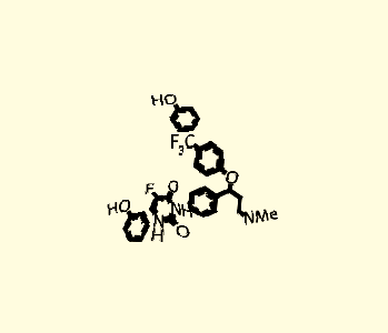 CNCCC(Oc1ccc(C(F)(F)F)cc1)c1ccccc1.O=c1[nH]cc(F)c(=O)[nH]1.Oc1ccccc1.Oc1ccccc1